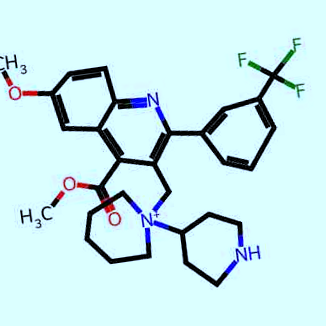 COC(=O)c1c(C[N+]2(C3CCNCC3)CCCCC2)c(-c2cccc(C(F)(F)F)c2)nc2ccc(OC)cc12